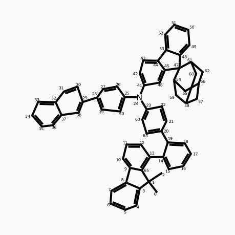 CC1(C)c2ccccc2-c2cccc(-c3ccccc3-c3ccc(N(c4ccc(-c5ccc6ccccc6c5)cc4)c4ccc5c(c4)C4(c6ccccc6-5)C5CC6CC(C5)CC4C6)cc3)c21